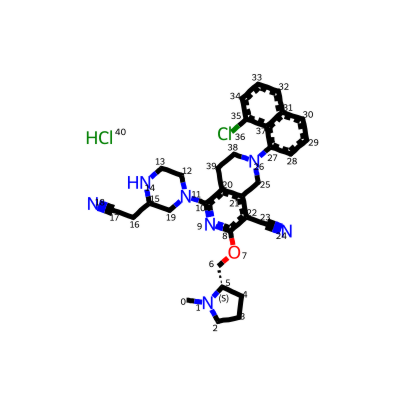 CN1CCC[C@H]1COc1nc(N2CCNC(CC#N)C2)c2c(c1C#N)CN(c1cccc3cccc(Cl)c13)CC2.Cl